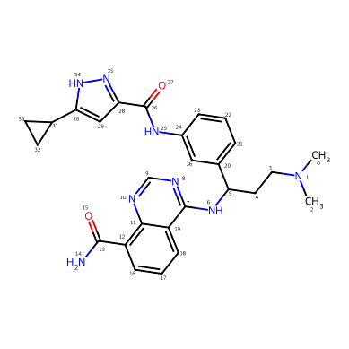 CN(C)CCC(Nc1ncnc2c(C(N)=O)cccc12)c1cccc(NC(=O)c2cc(C3CC3)[nH]n2)c1